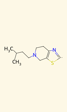 CC(C)CCN1CCc2n[c]sc2C1